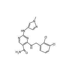 Cn1cc(Nc2ncc(C(N)=O)c(NCc3cccc(Cl)c3Cl)n2)cn1